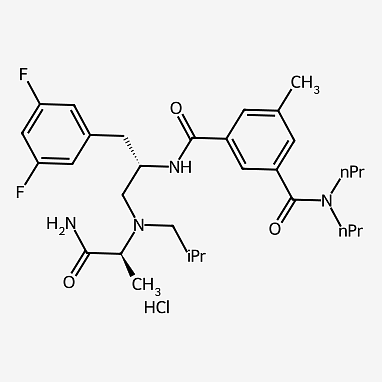 CCCN(CCC)C(=O)c1cc(C)cc(C(=O)N[C@@H](Cc2cc(F)cc(F)c2)CN(CC(C)C)[C@@H](C)C(N)=O)c1.Cl